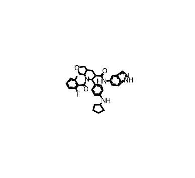 Cc1cccc(F)c1C(=O)N1C2COCC2CC(C(=O)Nc2ccc3[nH]ncc3c2)C1c1ccc(NC2CCCC2)cc1